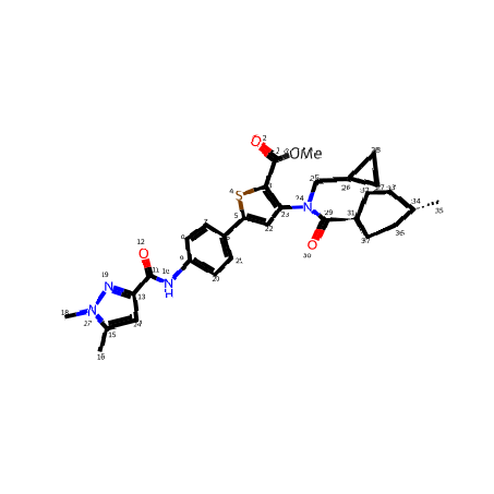 COC(=O)c1sc(-c2ccc(NC(=O)c3cc(C)n(C)n3)cc2)cc1N(CC1CC1)C(=O)[C@H]1CC[C@H](C)CC1